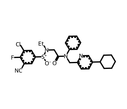 CCN(CC(=O)N(Cc1ccc(C2CCCCC2)cn1)c1ccccc1)[S+]([O-])c1cc(Cl)c(F)c(C#N)c1